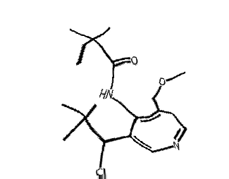 COc1cncc(C(Cl)C(C)(C)C)c1NC(=O)C(C)(C)C